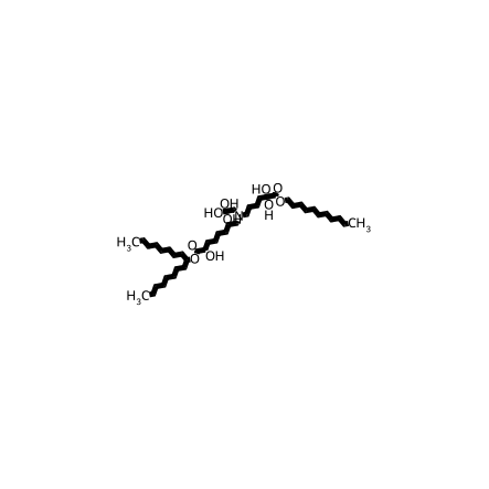 CCCCCCCCCCCOC(=O)C(O)(O)CCCCN(CCCCCCC(O)C(=O)OC(CCCCCCCC)CCCCCCCC)CC(O)(O)O